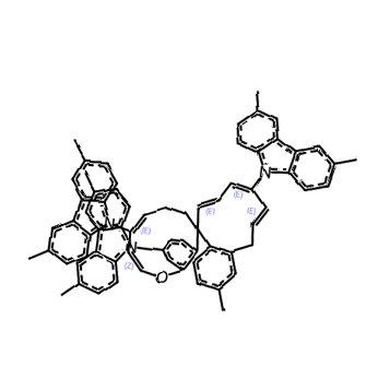 Cc1ccc2c(c1)C/C=C/C(n1c3ccc(C)cc3c3cc(C)ccc31)=C\C=C\C21CC/C=C(n2c3ccc(C)cc3c3cc(C)ccc32)\C=C/Oc2cc(-n3c4ccc(C)cc4c4cc(C)ccc43)ccc21